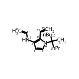 C=CNc1ccn(C(C)(CCC)CCCC)c1C=C